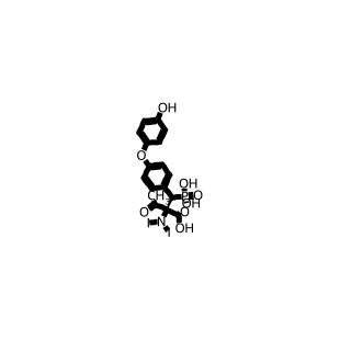 CC(=O)[C@@](C(=O)O)(C(c1ccc(Oc2ccc(O)cc2)cc1)P(=O)(O)O)N(I)I